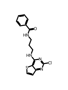 O=C(NCCCNc1nc(Cl)nc2ccsc12)c1ccccc1